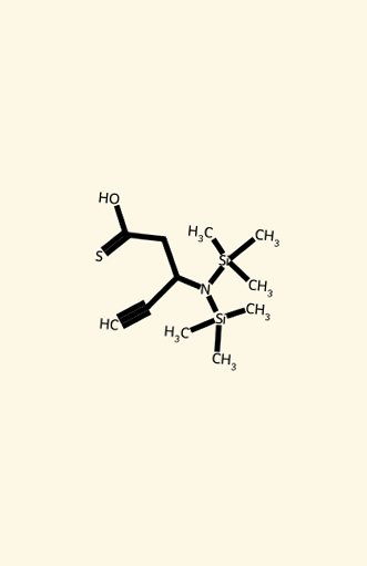 C#CC(CC(O)=S)N([Si](C)(C)C)[Si](C)(C)C